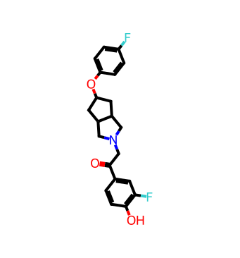 O=C(CN1CC2CC(Oc3ccc(F)cc3)CC2C1)c1ccc(O)c(F)c1